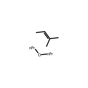 CC=C(C)C.CCCOCCC